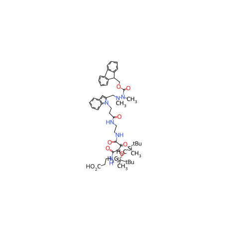 CN(Cc1cc2ccccc2n1CCC(=O)NCCNC(=O)[C@H](O[Si](C)(C)C(C)(C)C)C(O[Si](C)(C)C(C)(C)C)C(=O)NCCC(=O)O)N(C)C(=O)OCC1c2ccccc2-c2ccccc21